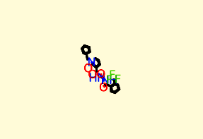 O=C(NNOC(=O)c1cccn(Cc2ccccc2)c1=O)c1ccccc1C(F)(F)F